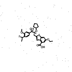 CCOc1cc(C(=O)O)c2nc(C[C@H](OC3CCCC3)[C@H](O)c3ccc(C(F)F)c(OC)c3)sc2c1